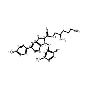 NCCCC(N)CNC(=O)c1nc2cc(-c3ccc([N+](=O)[O-])cc3)ccc2n1Cc1cc([N+](=O)[O-])ccc1F